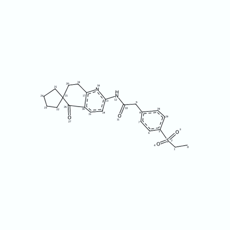 CCS(=O)(=O)c1ccc(CC(=O)Nc2ccc3c(n2)CCC2(CCCC2)C3=O)cc1